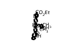 CCOC(=O)c1ccc(N2CCN(C(=O)[C@@H](Cc3cc(C)c(O)c(C)c3)OC(=O)N3CCC(N4CCc5ccccc5NC4=O)CC3)CC2)nc1